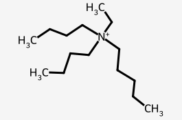 CCCCC[N+](CC)(CCCC)CCCC